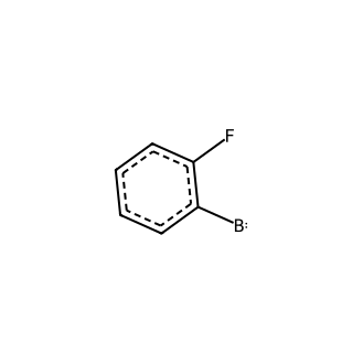 [B]c1ccccc1F